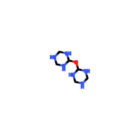 C1NCNC(OC2NCNCN2)N1